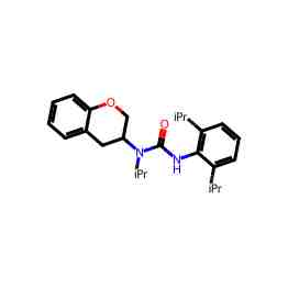 CC(C)c1cccc(C(C)C)c1NC(=O)N(C(C)C)C1COc2ccccc2C1